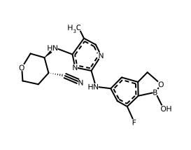 Cc1cnc(Nc2cc(F)c3c(c2)COB3O)nc1N[C@@H]1COCC[C@H]1C#N